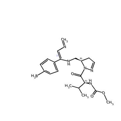 Bc1ccc(/C(=C/N=C)NC[C@H]2CC=NN2C(=O)[C@@H](NC(=O)OC)C(C)C)cc1